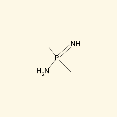 CP(C)(=N)N